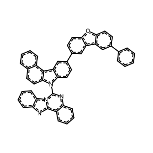 c1ccc(-c2ccc3oc4ccc(-c5ccc6c(c5)c5c7ccccc7ccc5n6-c5nc6ccccc6c6nc7ccccc7n56)cc4c3c2)cc1